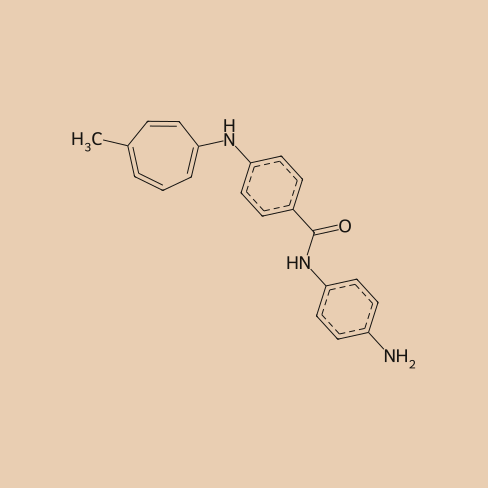 CC1=C=CC=C(Nc2ccc(C(=O)Nc3ccc(N)cc3)cc2)C=C1